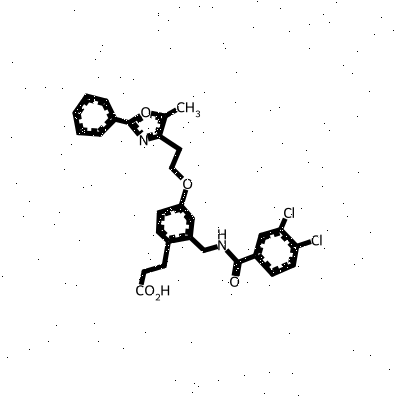 Cc1oc(-c2ccccc2)nc1CCOc1ccc(CCC(=O)O)c(CNC(=O)c2ccc(Cl)c(Cl)c2)c1